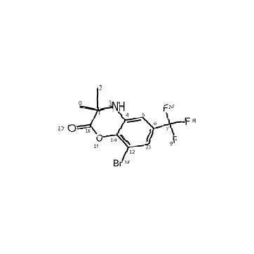 CC1(C)Nc2cc(C(F)(F)F)cc(Br)c2OC1=O